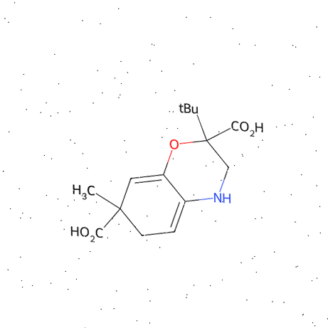 CC1(C(=O)O)C=C2OC(C(=O)O)(C(C)(C)C)CNC2=CC1